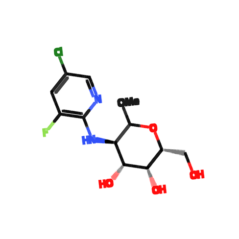 COC1O[C@H](CO)[C@H](O)[C@H](O)[C@H]1Nc1ncc(Cl)cc1F